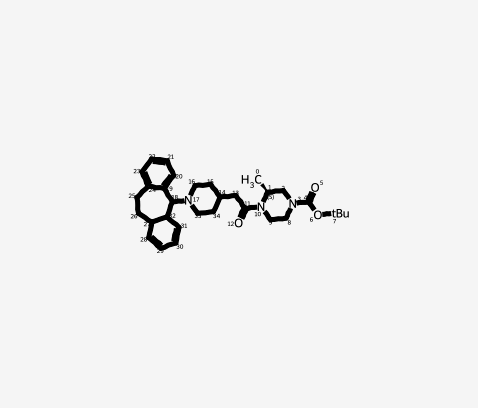 C[C@H]1CN(C(=O)OC(C)(C)C)CCN1C(=O)CC1CCN(C2c3ccccc3CCC3C=CC=CC32)CC1